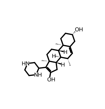 C[C@H]1C=C2C[C@@H](O)CC[C@]2(C)[C@H]2CC[C@]3(C)C(C4CNCCN4)=C(O)C[C@H]3[C@H]12